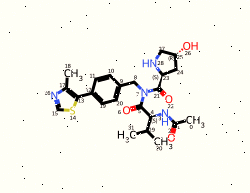 CC(=O)N[C@H](C(=O)N(Cc1ccc(-c2scnc2C)cc1)C(=O)[C@@H]1C[C@@H](O)CN1)C(C)C